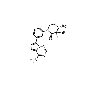 CCCC1(C)C(=O)N(c2cccc(-c3ccc4c(N)ncnn34)c2)CCN1C(C)=O